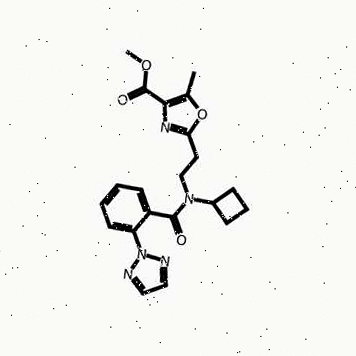 COC(=O)c1nc(CCN(C(=O)c2ccccc2-n2nccn2)C2CCC2)oc1C